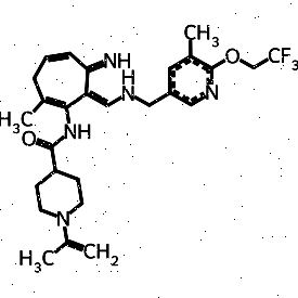 C=C(C)N1CCC(C(=O)NC2=C(C)CC=CC(=N)/C2=C\NCc2cnc(OCC(F)(F)F)c(C)c2)CC1